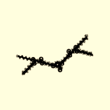 CCCCCCCCOC(CCC(=O)OCCCCCOc1ccc(OCCCCCOC(=O)CCC(OCCCCCCCC)OCCCCCCCC)c(C=O)c1)OCCCCCCCC